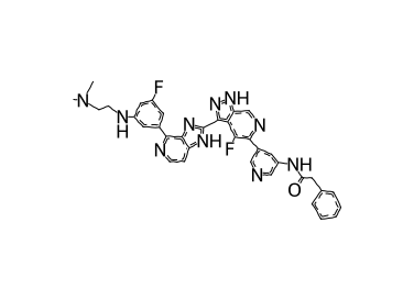 CN(C)CCNc1cc(F)cc(-c2nccc3[nH]c(-c4n[nH]c5cnc(-c6cncc(NC(=O)Cc7ccccc7)c6)c(F)c45)nc23)c1